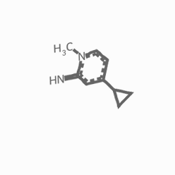 Cn1ccc(C2CC2)cc1=N